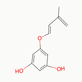 C=C(C)C=COc1cc(O)cc(O)c1